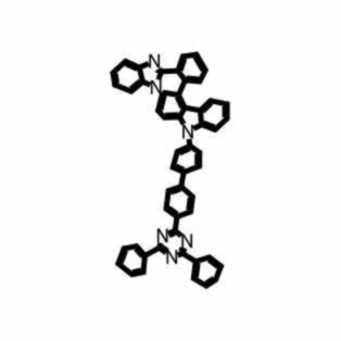 c1ccc(-c2nc(-c3ccccc3)nc(-c3ccc(-c4ccc(-n5c6ccccc6c6c7c8ccccc8c8nc9ccccc9n8c7ccc65)cc4)cc3)n2)cc1